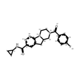 O=C(NC1CC1)c1cc2c(nn1)N1CCN(C(=O)c3ccc(F)cc3)CC1C2